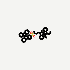 C=CC1=C(/C=C\C)c2ccccc2C12c1ccccc1C(CCC(C)S(=O)(=O)c1ccc3c(c1)C1(c4ccccc4-c4ccccc41)C1CCCCC31)C2C